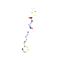 NS(=O)(=O)NC(=O)CNC(=O)NCCCCC1CCSS1